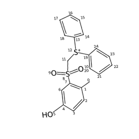 Cc1ccc(O)cc1S(=O)(=O)C[S+](c1ccccc1)c1ccccc1